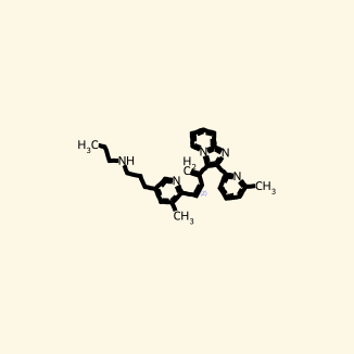 C=C(/C=C\c1ncc(CCCNCCC)cc1C)c1c(-c2cccc(C)n2)nc2ccccn12